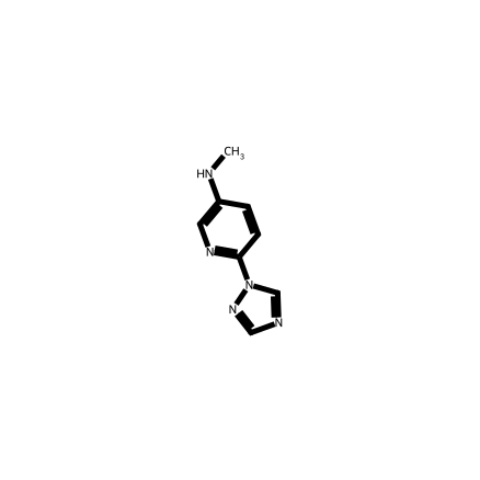 CNc1ccc(-n2cncn2)nc1